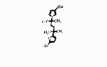 CC(C)(C)c1ccn(C(C)(C)CCC(C)(C)c2ccc(C(C)(C)C)o2)c1